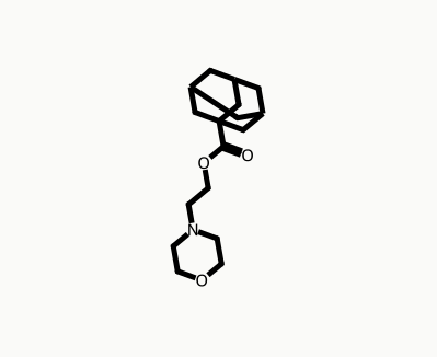 O=C(OCCN1CCOCC1)C12CC3CC(CC(C3)C1)C2